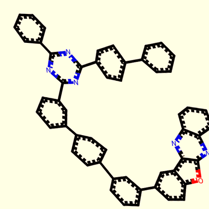 c1ccc(-c2ccc(-c3nc(-c4ccccc4)nc(-c4cccc(-c5ccc(-c6cccc(-c7ccc8oc9nc%10ccccc%10nc9c8c7)c6)cc5)c4)n3)cc2)cc1